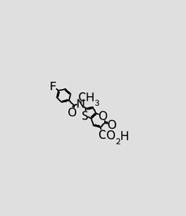 CN(C(=O)c1ccc(F)cc1)c1cc2oc(=O)c(C(=O)O)cc2s1